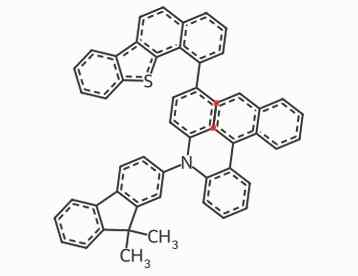 CC1(C)c2ccccc2-c2ccc(N(c3ccc(-c4cccc5ccc6c7ccccc7sc6c45)cc3)c3ccccc3-c3cccc4ccccc34)cc21